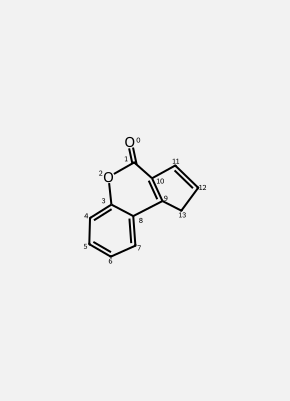 O=c1oc2ccccc2c2c1C=CC2